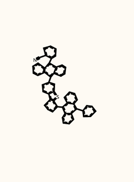 N#Cc1ccccc1-c1c2ccccc2c(-c2ccc3c(c2)sc2c(-c4c5ccccc5c(-c5ccccc5)c5ccccc45)cccc23)c2ccccc12